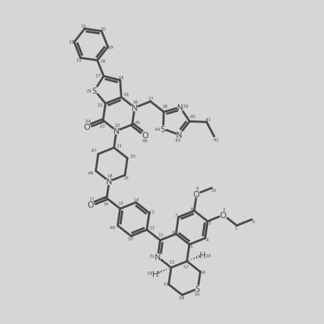 CCOc1cc2c(cc1OC)C(c1ccc(C(=O)N3CCC(n4c(=O)c5sc(-c6ccccc6)cc5n(Cc5nc(CC)ns5)c4=O)CC3)cc1)=N[C@@H]1CCSC[C@H]21